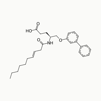 CCCCCC/C=C/CC(=O)N[C@@H](CCC(=O)O)COc1cccc(-c2ccccc2)c1